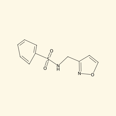 O=S(=O)(NCc1ccon1)c1ccccc1